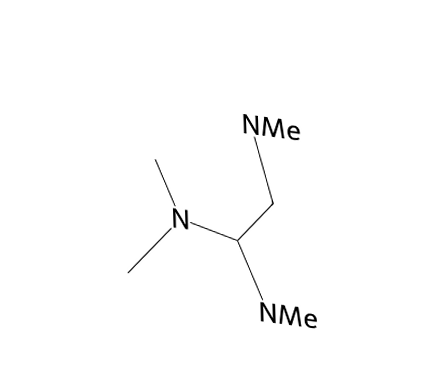 CNCC(NC)N(C)C